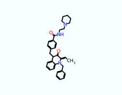 CC=C1C(=O)C(Cc2ccc(C(=O)NCCN3CCCCC3)cc2)c2ccccc2N1Cc1ccccc1